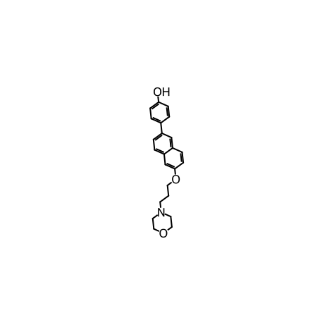 Oc1ccc(-c2ccc3cc(OCCCN4CCOCC4)ccc3c2)cc1